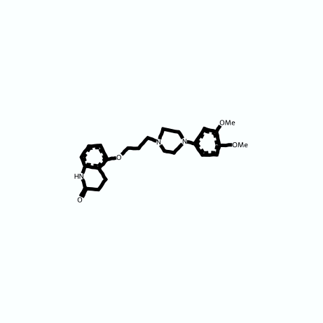 COc1ccc(N2CCN(CCCOc3cccc4c3CCC(=O)N4)CC2)cc1OC